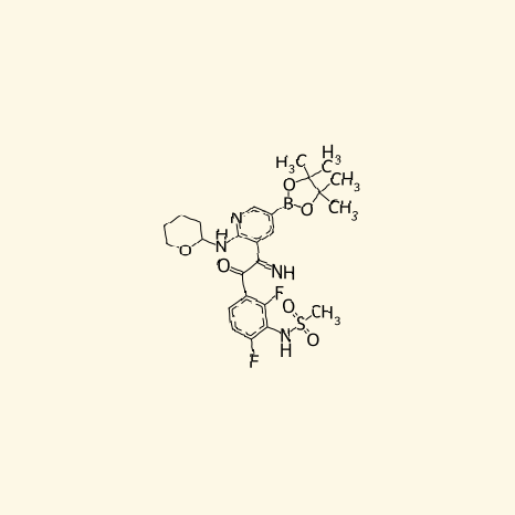 CC1(C)OB(c2cnc(NC3CCCCO3)c(C(=N)C(=O)c3ccc(F)c(NS(C)(=O)=O)c3F)c2)OC1(C)C